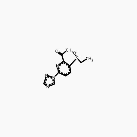 CC[S+]([O-])c1ccc(-n2cncn2)nc1C(C)=O